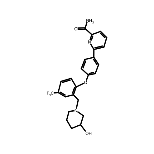 NC(=O)c1cccc(-c2ccc(Oc3ccc(C(F)(F)F)cc3CN3CCCC(O)C3)cc2)n1